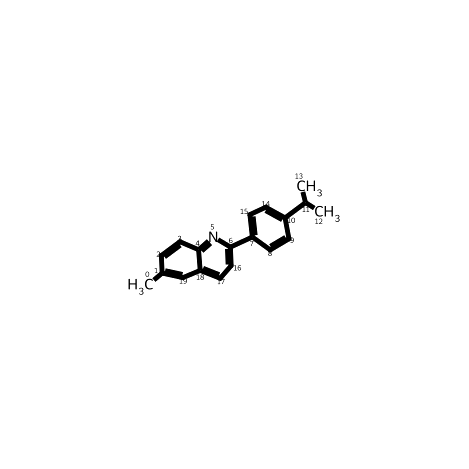 Cc1ccc2nc(-c3ccc(C(C)C)cc3)ccc2c1